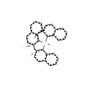 CCCCOc1ccc2ccccc2[c]1[Sn]([Br])([c]1c(OCCCC)ccc2ccccc12)[c]1c(OCCCC)ccc2ccccc12